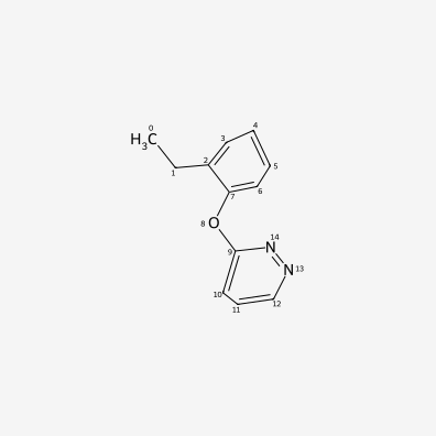 CCc1ccccc1Oc1cccnn1